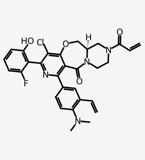 C=CC(=O)N1CCN2C(=O)c3c(-c4ccc(N(C)C)c(C=C)c4)nc(-c4c(O)cccc4F)c(Cl)c3OC[C@H]2C1